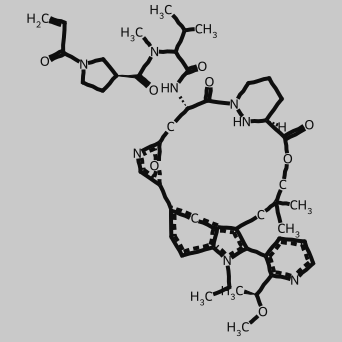 C=CC(=O)N1CC[C@H](C(=O)N(C)C(C(=O)N[C@H]2Cc3ncc(o3)-c3ccc4c(c3)c(c(-c3cccnc3[C@H](C)OC)n4CC)CC(C)(C)COC(=O)[C@@H]3CCCN(N3)C2=O)C(C)C)C1